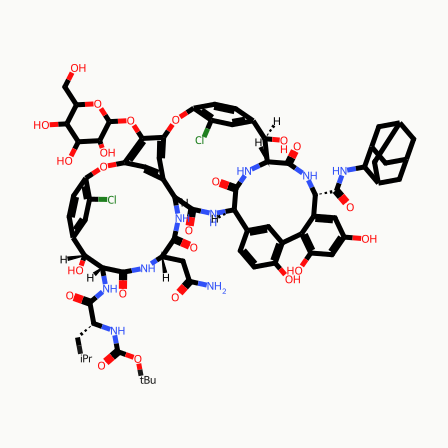 CC(C)C[C@@H](NC(=O)OC(C)(C)C)C(=O)N[C@H]1C(=O)N[C@@H](CC(N)=O)C(=O)N[C@H]2C(=O)N[C@H]3C(=O)N[C@@H](C(=O)N[C@H](C(=O)NC4C5CC6CC(C5)CC4C6)c4cc(O)cc(O)c4-c4cc3ccc4O)[C@H](O)c3ccc(c(Cl)c3)Oc3cc2cc(c3OC2OC(CO)C(O)C(O)C2O)Oc2ccc(cc2Cl)[C@H]1O